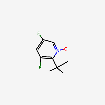 CC(C)(C)c1c(F)cc(F)c[n+]1[O-]